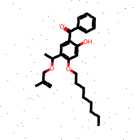 C=C(C)COC(C)c1cc(C(=O)c2ccccc2)c(O)cc1OCCCCCCCC